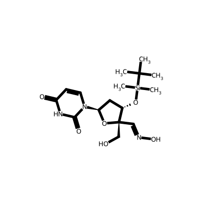 CC(C)(C)[Si](C)(C)O[C@H]1C[C@H](n2ccc(=O)[nH]c2=O)O[C@]1(C=NO)CO